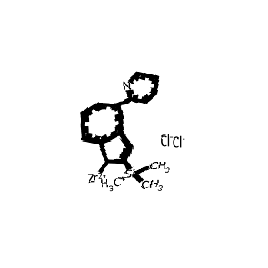 C[Si](C)(C)C1=Cc2c(-c3ccccn3)cccc2[CH]1[Zr+2].[Cl-].[Cl-]